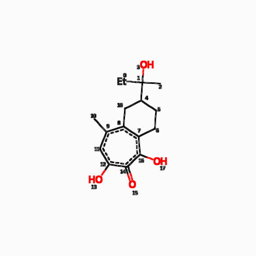 CCC(C)(O)C1CCc2c(c(C)cc(O)c(=O)c2O)C1